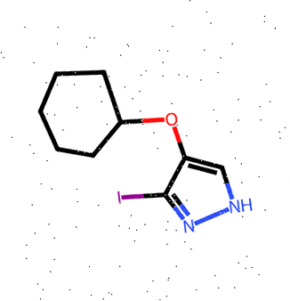 Ic1n[nH]cc1OC1CCCCC1